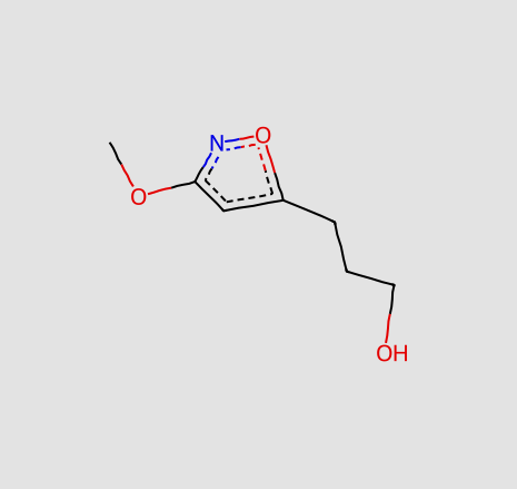 COc1cc(CCCO)on1